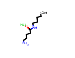 CCCCCCCCCCCCNC(=O)CCCCN.Cl